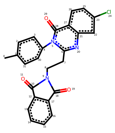 Cc1ccc(-n2c(CCN3C(=O)c4ccccc4C3=O)nc3cc(Cl)ccc3c2=O)cc1